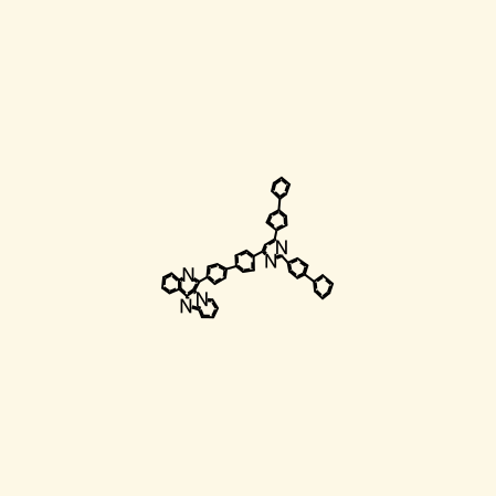 c1ccc(-c2ccc(-c3cc(-c4ccc(-c5ccc(-c6nc7ccccc7c7nc8ccccn8c67)cc5)cc4)nc(-c4ccc(-c5ccccc5)cc4)n3)cc2)cc1